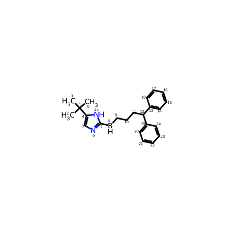 CC(C)(C)c1cnc(BCCCC(c2ccccc2)c2ccccc2)[nH]1